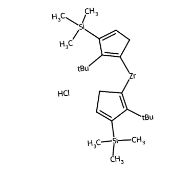 CC(C)(C)C1=[C]([Zr][C]2=C(C(C)(C)C)C([Si](C)(C)C)=CC2)CC=C1[Si](C)(C)C.Cl